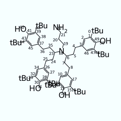 CC(C)(C)c1cc(CCC(CCc2cc(C(C)(C)C)c(O)c(C(C)(C)C)c2)N(CCCN)C(CCc2cc(C(C)(C)C)c(O)c(C(C)(C)C)c2)CCc2cc(C(C)(C)C)c(O)c(C(C)(C)C)c2)cc(C(C)(C)C)c1O